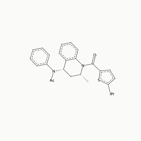 CC(=O)N(c1ccccc1)[C@H]1C[C@@H](C)N(C(=O)c2ccc(C(C)C)s2)c2ccccc21